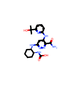 CC(C)(O)c1cccc(Nc2cc(N[C@@H]3CCCC[C@@H]3NC(=O)O)nnc2C(N)=O)n1